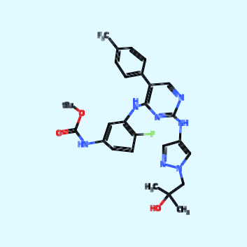 CC(C)(O)Cn1cc(Nc2ncc(-c3ccc(C(F)(F)F)cc3)c(Nc3cc(NC(=O)OC(C)(C)C)ccc3F)n2)cn1